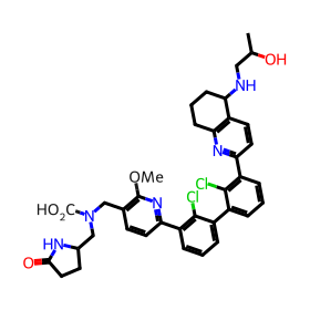 COc1nc(-c2cccc(-c3cccc(-c4ccc5c(n4)CCCC5NCC(C)O)c3Cl)c2Cl)ccc1CN(CC1CCC(=O)N1)C(=O)O